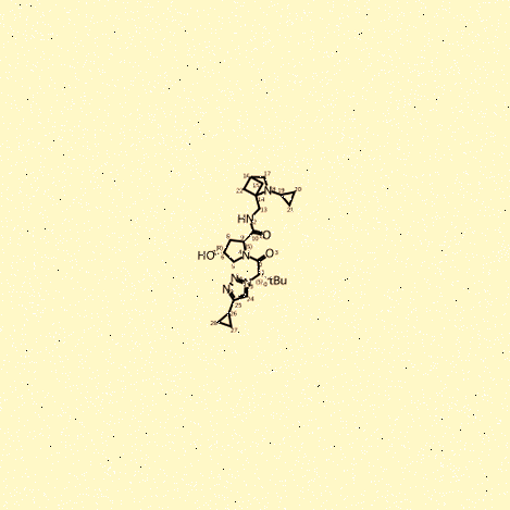 CC(C)(C)[C@@H](C(=O)N1C[C@H](O)C[C@H]1C(=O)NCC12CC(CN1C1CC1)C2)n1cc(C2CC2)nn1